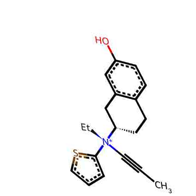 CC#C[N@+](CC)(c1cccs1)[C@H]1CCc2ccc(O)cc2C1